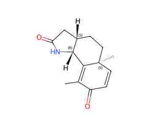 CC1=C2[C@@H]3NC(=O)C[C@@H]3CC[C@@]2(C)C=CC1=O